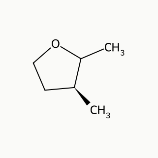 CC1OCC[C@@H]1C